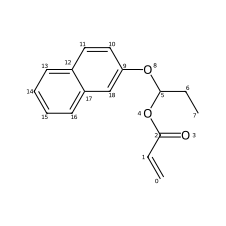 C=CC(=O)OC(CC)Oc1ccc2ccccc2c1